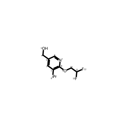 CC(C)c1cc(CO)cnc1OCC(F)F